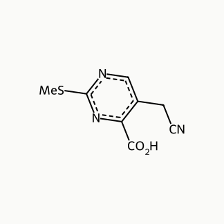 CSc1ncc(CC#N)c(C(=O)O)n1